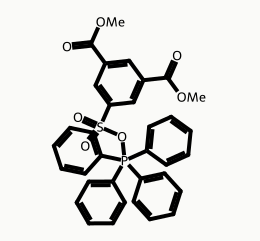 COC(=O)c1cc(C(=O)OC)cc(S(=O)(=O)OP(c2ccccc2)(c2ccccc2)(c2ccccc2)c2ccccc2)c1